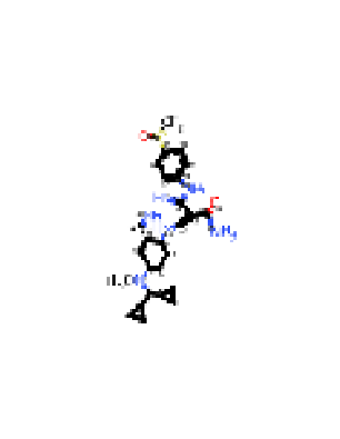 CN(C(C1CC1)C1CC1)[C@@H]1CC[C@H](N/C=C(\C(=N)Nc2ccc([S+]([O-])C(F)(F)F)cc2)C(N)=O)[C@@H](C=N)C1